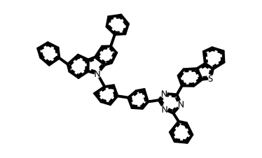 c1ccc(-c2ccc3c(c2)c2cc(-c4ccccc4)ccc2n3-c2cccc(-c3ccc(-c4nc(-c5ccccc5)nc(-c5ccc6c(c5)sc5ccccc56)n4)cc3)c2)cc1